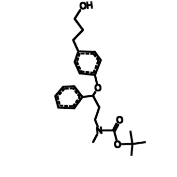 CN(CCC(Oc1ccc(CCCO)cc1)c1ccccc1)C(=O)OC(C)(C)C